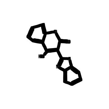 O=c1oc2ccccc2c(O)c1-c1nc2ccccc2s1